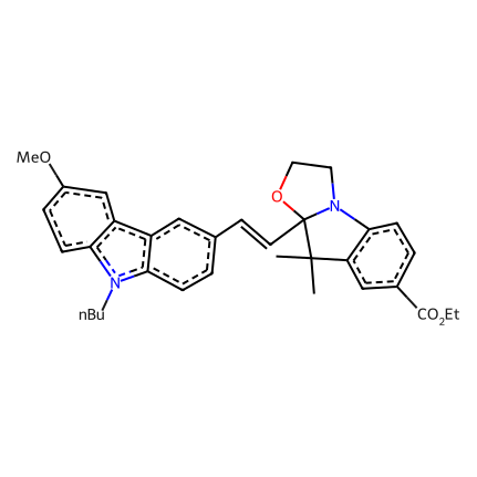 CCCCn1c2ccc(/C=C/C34OCCN3c3ccc(C(=O)OCC)cc3C4(C)C)cc2c2cc(OC)ccc21